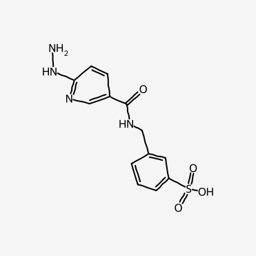 NNc1ccc(C(=O)NCc2cccc(S(=O)(=O)O)c2)cn1